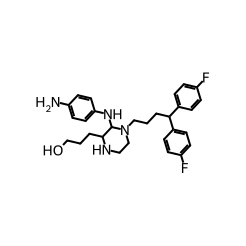 Nc1ccc(NC2C(CCCO)NCCN2CCCC(c2ccc(F)cc2)c2ccc(F)cc2)cc1